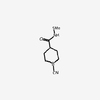 CSNC(=O)C1CCB(C#N)CC1